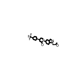 O=c1cc(-c2ccc(C(F)(F)F)cc2)ccn1-c1ccc2c(cnn2CC2CO2)c1